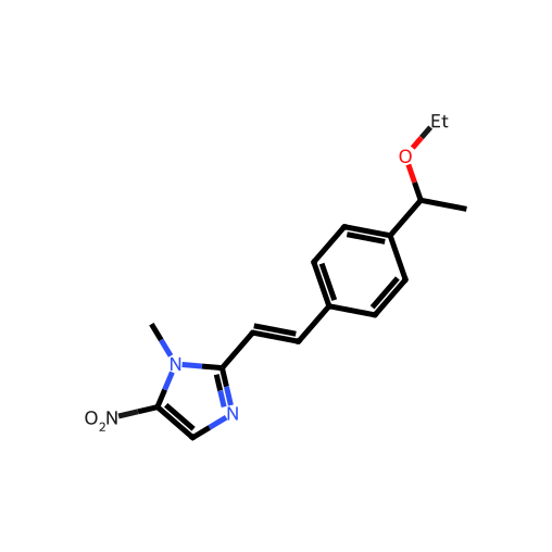 CCOC(C)c1ccc(/C=C/c2ncc([N+](=O)[O-])n2C)cc1